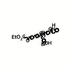 CCOC(=O)CCC(=O)N1CCC(N2CCN(C(=O)C(Cc3ccc(O)c(Br)c3)OC(=O)N3CCC(N4CCc5ccccc5NC4=O)CC3)CC2)CC1